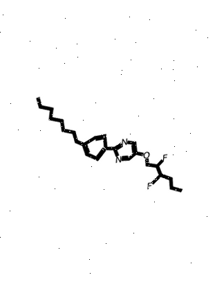 CCCCCCCCc1ccc(-c2ncc(OCC(F)C(F)CCC)cn2)cc1